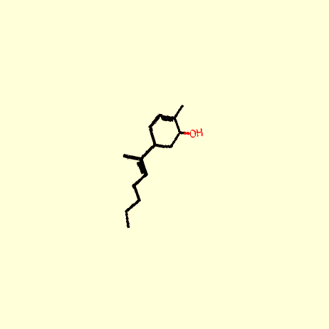 CCCCC=C(C)C1CC=C(C)C(O)C1